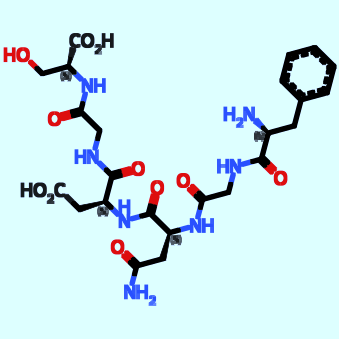 NC(=O)C[C@H](NC(=O)CNC(=O)[C@@H](N)Cc1ccccc1)C(=O)N[C@@H](CC(=O)O)C(=O)NCC(=O)N[C@@H](CO)C(=O)O